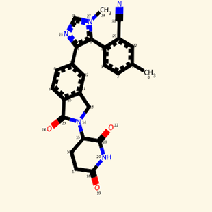 Cc1ccc(-c2c(-c3ccc4c(c3)CN(C3CCC(=O)NC3=O)C4=O)ncn2C)c(C#N)c1